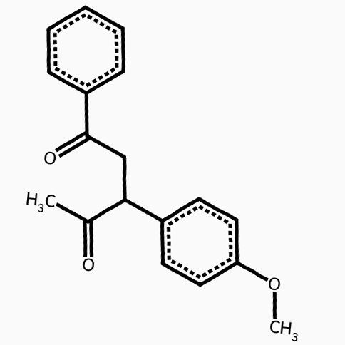 COc1ccc(C(CC(=O)c2ccccc2)C(C)=O)cc1